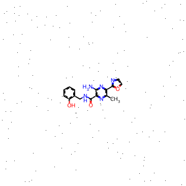 Cc1nc(C(=O)NCc2ccccc2O)c(N)nc1-c1ncco1